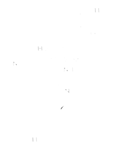 COC(=O)c1ccc(O)c(S(=O)(=O)Nc2cc(C#N)c(F)cc2N2CCCC[C@H]2CCCCO)c1